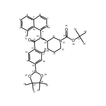 Cc1cccc2ccnc(N(C(=O)c3ccc(B4OC(C)(C)C(C)(C)O4)cc3F)[C@@H]3CCCN(C(=O)OC(C)(C)C)C3)c12